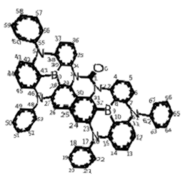 O=C1N2c3cccc4c3B3c5c(cccc5N(c5ccccc5)c5cc6cc7c8c(c6c2c53)N1c1cccc2c1B8c1c(cccc1N7c1ccccc1)N2c1ccccc1)N4c1ccccc1